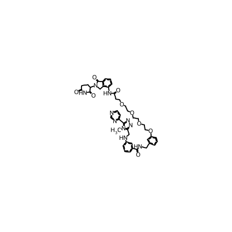 Cn1c(CNc2cccc(C(=O)NCc3cccc(OCCOCCOCCOCCC(=O)Nc4cccc5c4CN(C4CCC(=O)NC4=O)C5=O)c3)c2)nnc1-c1ccncn1